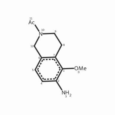 COc1c(N)ccc2c1CCN(C(C)=O)C2